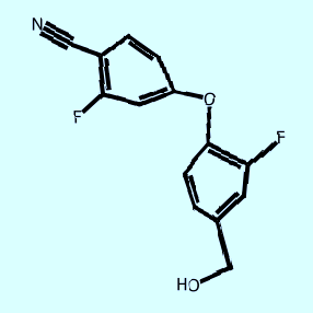 N#Cc1ccc(Oc2ccc(CO)cc2F)cc1F